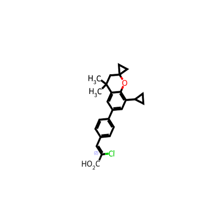 CC1(C)CC2(CC2)Oc2c(C3CC3)cc(-c3ccc(/C=C(\Cl)C(=O)O)cc3)cc21